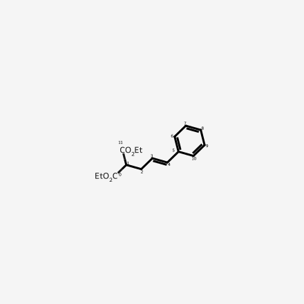 CCOC(=O)C(C/C=C/c1ccccc1)C(=O)OCC